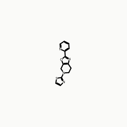 c1ccc(-c2nc3c(o2)CN(c2nccs2)CC3)nc1